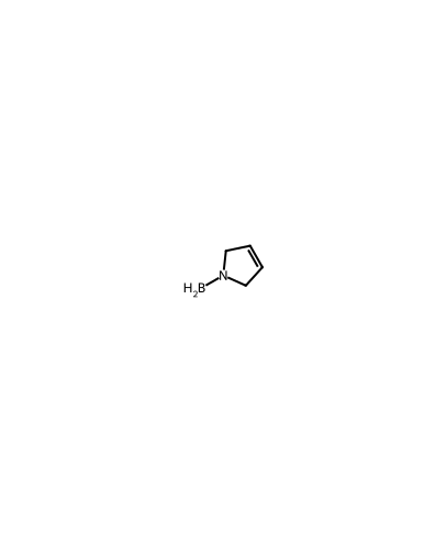 BN1CC=CC1